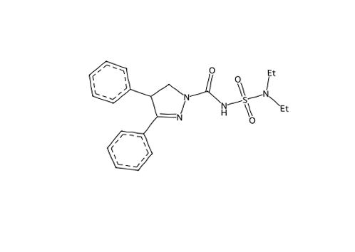 CCN(CC)S(=O)(=O)NC(=O)N1CC(c2ccccc2)C(c2ccccc2)=N1